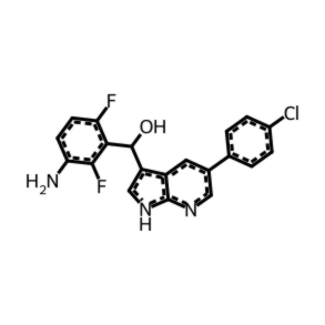 Nc1ccc(F)c(C(O)c2c[nH]c3ncc(-c4ccc(Cl)cc4)cc23)c1F